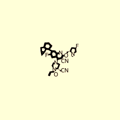 C=CC(=O)N1CCN(c2c(C#N)c(OC[C@@H]3C[C@@H](F)CN3C)nc3cc(-c4cccc5c4C4CC4C5)c(F)cc23)C[C@@H]1CC#N